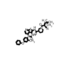 Cc1cc(Oc2ccccc2)ccc1N1C(=O)Nc2c(NC(=O)C3CCCN(C(=O)/C(C#N)=C/C(C)(C)C)C3)sc3nccc1c23